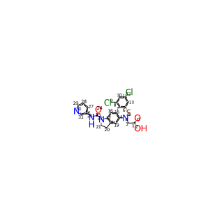 O=C(O)CN(Sc1cc(Cl)cc(Cl)c1)c1ccc2c(c1)CCN2C(=O)Nc1cccnc1